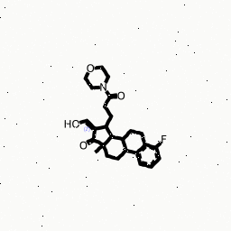 CC12CCC3c4cccc(F)c4CCC3C1C(CCC(=O)N1CCOCC1)/C(=C/O)C2=O